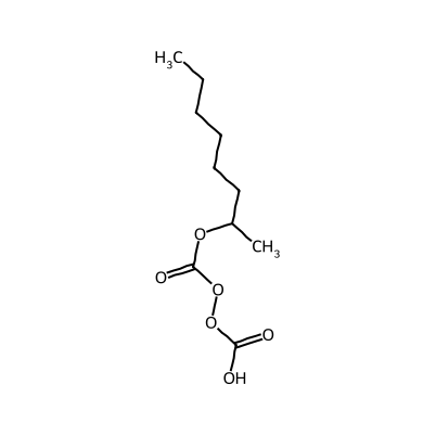 CCCCCCC(C)OC(=O)OOC(=O)O